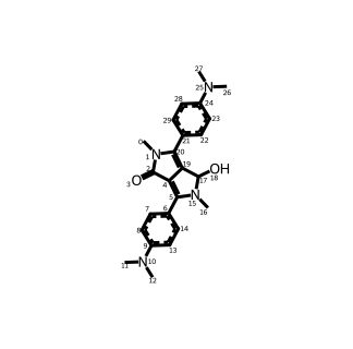 CN1C(=O)C2=C(c3ccc(N(C)C)cc3)N(C)C(O)C2=C1c1ccc(N(C)C)cc1